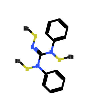 CCSN=C(N(SCC)c1ccccc1)N(SCC)c1ccccc1